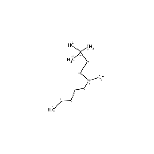 CCCCCN(C)CCC(C)(C)O